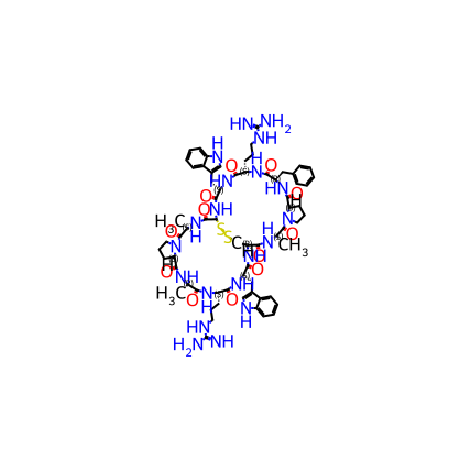 C[C@@H]1NC(=O)C2NC(=O)[C@H](Cc3c[nH]c4ccccc34)NC(=O)[C@H](CCCNC(=N)N)NC(=O)[C@@H](Cc3ccccc3)NC(=O)[C@@H]3CCCN3C(=O)[C@H](C)NC(=O)[C@H](CSS2)NC(=O)[C@H](Cc2c[nH]c3ccccc23)NC(=O)[C@H](CCCNC(=N)N)NC(=O)[C@@H](C)NC(=O)[C@@H]2CCCN2C1=O